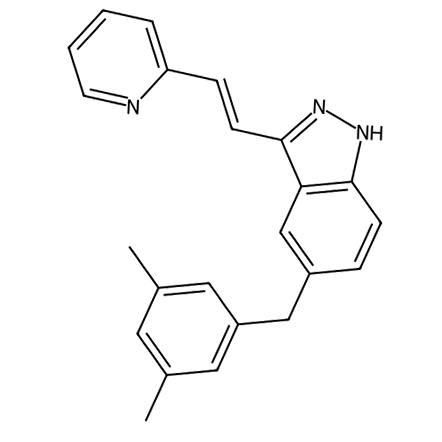 Cc1cc(C)cc(Cc2ccc3[nH]nc(C=Cc4ccccn4)c3c2)c1